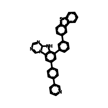 C1=NC=NC2Nc3c(-c4cccc(-c5ccc6sc7ccccc7c6c5)c4)cc(-c4ccc(-c5cccnc5)cc4)cc3N12